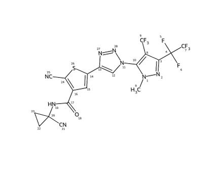 Cn1nc(C(F)(F)C(F)(F)F)c(C(F)(F)F)c1-n1cc(-c2cc(C(=O)NC3(C#N)CC3)c(C#N)s2)nn1